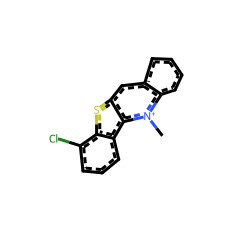 C[n+]1c2ccccc2cc2sc3c(Cl)cccc3c21